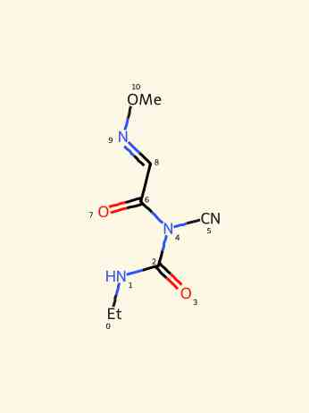 CCNC(=O)N(C#N)C(=O)C=NOC